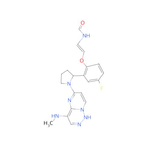 CNC1=C2N=C(N3CCCC3c3cc(F)ccc3O/C=C/NC=O)C=CN2NN=C1